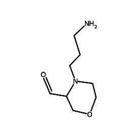 NCCCN1CCOCC1C=O